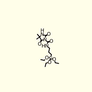 CCO[Si](CCCNC(=O)N1C(=O)NC(C)(C)C1=O)(OCC)OCC